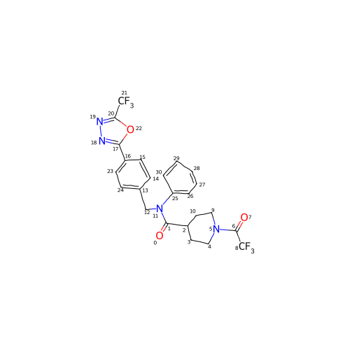 O=C(C1CCN(C(=O)C(F)(F)F)CC1)N(Cc1ccc(-c2nnc(C(F)(F)F)o2)cc1)c1ccccc1